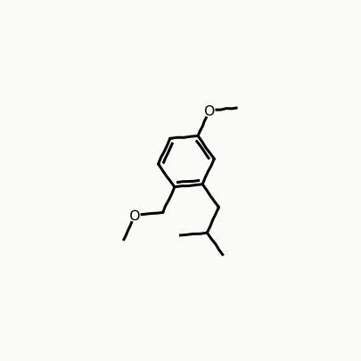 COCc1ccc(OC)cc1CC(C)C